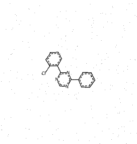 Clc1ccccc1-c1ncnc(-c2ccccc2)n1